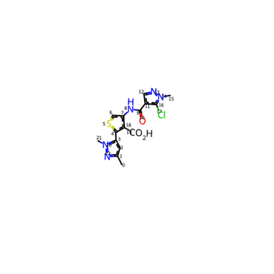 Cc1cc(-c2scc(NC(=O)c3cnn(C)c3Cl)c2C(=O)O)n(C)n1